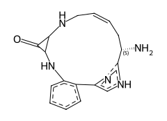 N[C@H]1CC=CCNC2C(=O)C2Nc2ccccc2-c2c[nH]c1n2